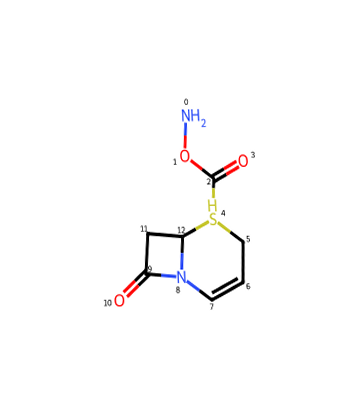 NOC(=O)[SH]1CC=CN2C(=O)CC21